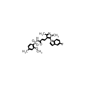 COc1cc(C)ccc1S(=O)(=O)NC(=O)C=Cc1c(C)nn(C)c1-n1ccc2cc(F)ccc21